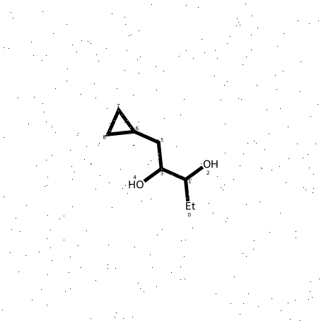 CCC(O)C(O)CC1CC1